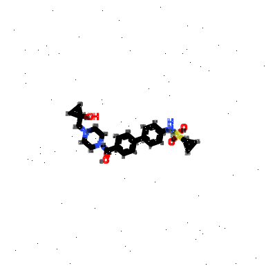 O=C(c1ccc(-c2ccc(NS(=O)(=O)C3CC3)cc2)cc1)N1CCN(CC2(O)CC2)CC1